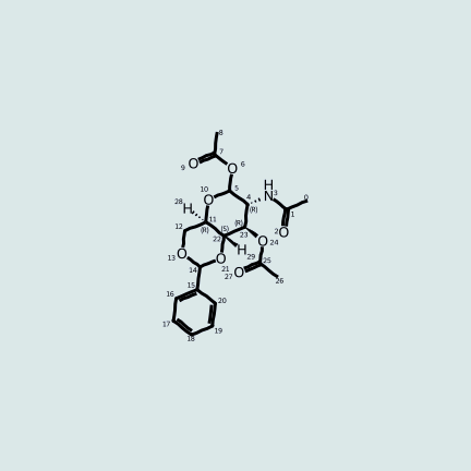 CC(=O)N[C@H]1C(OC(C)=O)O[C@@H]2COC(c3ccccc3)O[C@H]2[C@@H]1OC(C)=O